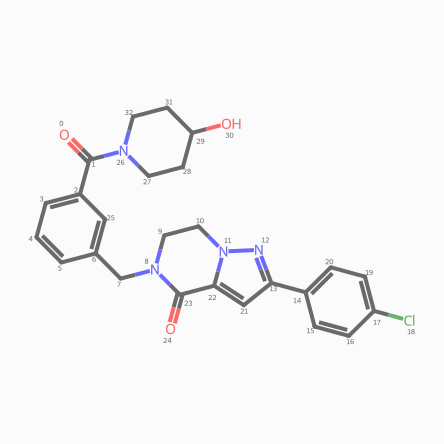 O=C(c1cccc(CN2CCn3nc(-c4ccc(Cl)cc4)cc3C2=O)c1)N1CCC(O)CC1